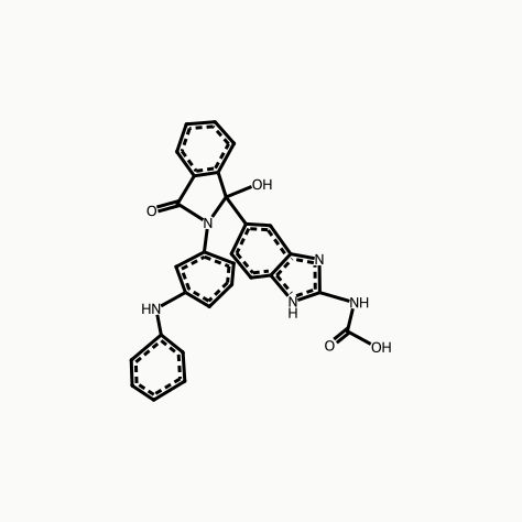 O=C(O)Nc1nc2cc(C3(O)c4ccccc4C(=O)N3c3cccc(Nc4ccccc4)c3)ccc2[nH]1